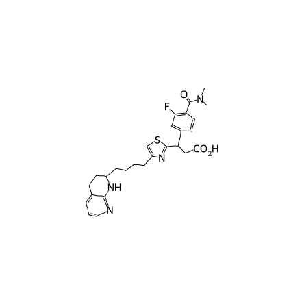 CN(C)C(=O)c1ccc(C(CC(=O)O)c2nc(CCCCC3CCc4cccnc4N3)cs2)cc1F